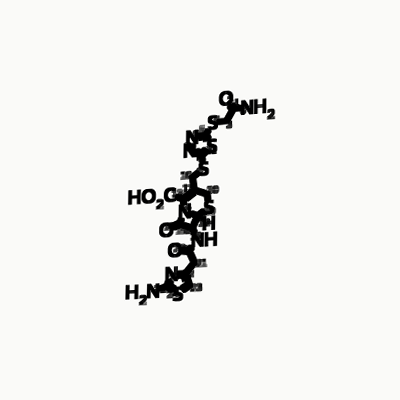 NC(=O)CSc1nnc(SCC2=C(C(=O)O)N3C(=O)C(NC(=O)Cc4csc(N)n4)[C@@H]3SC2)s1